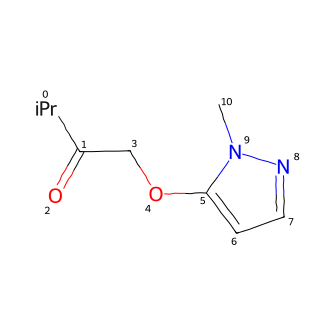 CC(C)C(=O)COc1ccnn1C